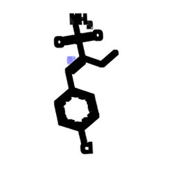 CC/C(=C\c1ccc(Cl)cc1)S(N)(=O)=O